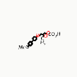 COc1ccc(-c2ccc(OCCc3cc(OC(=O)O)oc3C)cc2)cc1